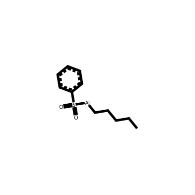 CCCC[CH2][Al][S](=O)(=O)c1ccccc1